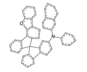 c1ccc(N(c2ccc3c(c2)C2(c4ccccc4-3)c3ccccc3-c3c2ccc2c3oc3ccccc32)c2ccc3ccccc3c2)cc1